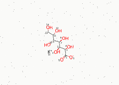 O=C([O-])[C@H](O)[C@@H](O)[C@H](O)[C@H](O)C(O)CO.[K+]